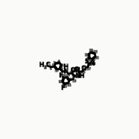 CCc1cccc(CNC[C@@H](O)[C@H](Cc2cc(F)cc(F)c2)NC(=O)COCc2nc3ccccc3s2)c1